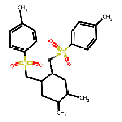 Cc1ccc(S(=O)(=O)CC2CC(C)C(C)CC2CS(=O)(=O)c2ccc(C)cc2)cc1